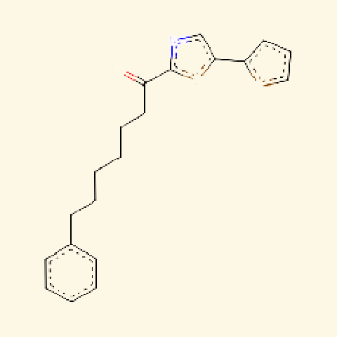 O=C(CCCCCCc1ccccc1)c1ncc(-c2cccs2)s1